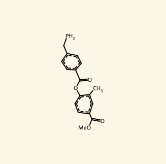 COC(=O)c1ccc(OC(=O)c2ccc(CP)cc2)c(C)c1